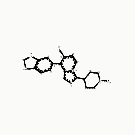 CC(=O)N1CCC(c2ncc3c(-c4ccc5c(c4)OCO5)c(Cl)ccn23)CC1